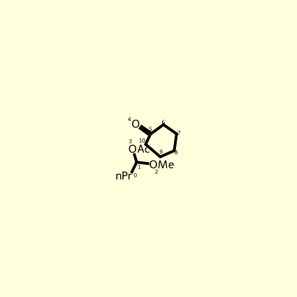 CCCC(OC)OC(C)=O.O=C1CCCCC1